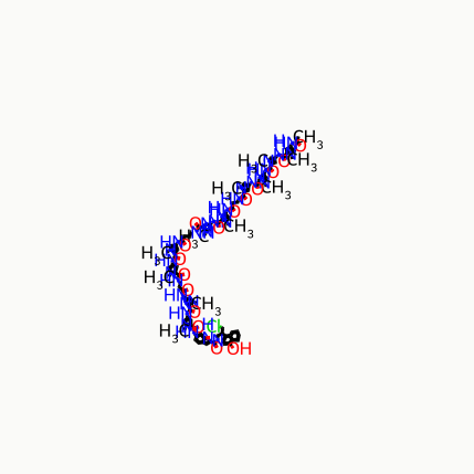 CC(=O)Nc1cc(C(=O)Nc2cc(C(=O)Nc3cn(C)c(C(=O)Nc4cc(C(=O)NCCC(=O)Nc5cn(C)c(C(=O)Nc6cn(C)c(C(=O)NCCCC(=O)Nc7cc(C(=O)Nc8cc(C(=O)NCCC(=O)Nc9cn(C)c(C(=O)Nc%10cc(C(=O)Nc%11ccc%12cc(C(=O)N%13CC(CCl)c%14c%13cc(O)c%13ccccc%14%13)[nH]c%12c%11)n(C)c%10)n9)n(C)c8)n(C)c7)n6)n5)n(C)c4)n3)n(C)c2)n(C)c1